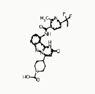 Cc1nc(C(F)(F)F)ccc1C(=O)Nc1cccc2nn3c(C4CCN(C(=O)O)CC4)cc(=O)[nH]c3c12